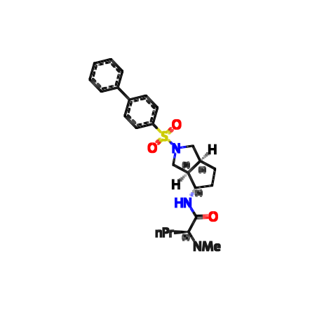 CCC[C@H](NC)C(=O)N[C@H]1CC[C@@H]2CN(S(=O)(=O)c3ccc(-c4ccccc4)cc3)C[C@@H]21